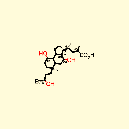 CC[C@H](O)CC[C@@]1(C)CC[C@@H](O)C2C1C[C@H](O)[C@@]1(C)C2CC[C@@H]1[C@H](C)C[C@@H](C)C(=O)O